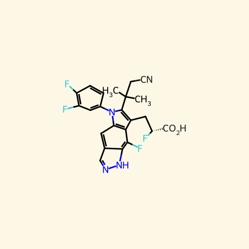 CC(C)(CC#N)c1c(C[C@@H](F)C(=O)O)c2c(F)c3[nH]ncc3cc2n1-c1ccc(F)c(F)c1